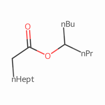 CCCCCCCCC(=O)OC(CCC)CCCC